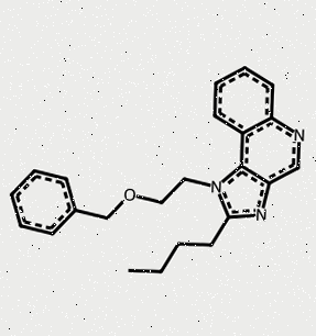 CCCCc1nc2cnc3ccccc3c2n1CCOCc1ccccc1